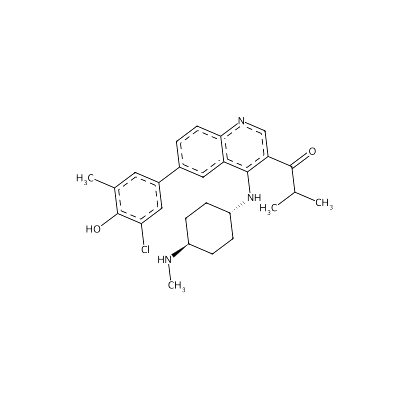 CN[C@H]1CC[C@H](Nc2c(C(=O)C(C)C)cnc3ccc(-c4cc(C)c(O)c(Cl)c4)cc23)CC1